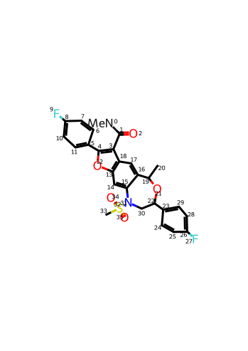 CNC(=O)c1c(-c2ccc(F)cc2)oc2cc3c(cc12)C(C)OC(c1ccc(F)cc1)CN3S(C)(=O)=O